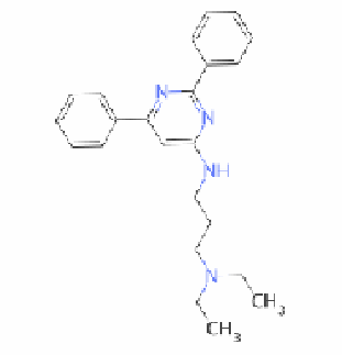 CCN(CC)CCCNc1cc(-c2ccccc2)nc(-c2ccccc2)n1